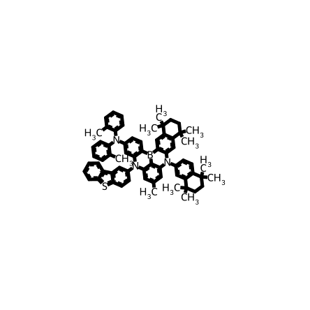 Cc1cc2c3c(c1)N(c1ccc4c(c1)C(C)(C)CCC4(C)C)c1cc4c(cc1B3c1ccc(N(c3ccccc3C)c3ccccc3C)cc1N2c1ccc2sc3ccccc3c2c1)C(C)(C)CCC4(C)C